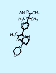 COC(C)C(C)(C)c1ccc(-c2c(C)nc3c(N4CCOCC4)ccnn23)cn1